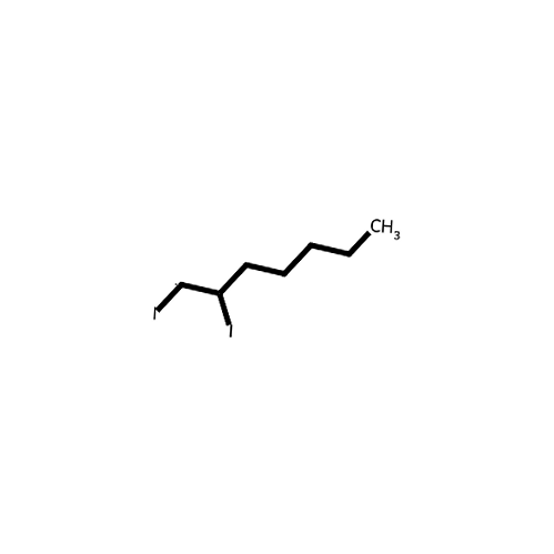 CCCCCC(I)[CH]I